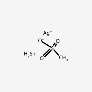 CS(=O)(=O)[O-].[Ag+].[SnH2]